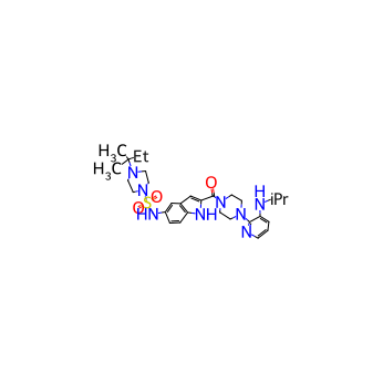 CCC(C)(C)N1CCN(S(=O)(=O)Nc2ccc3[nH]c(C(=O)N4CCN(c5ncccc5NC(C)C)CC4)cc3c2)CC1